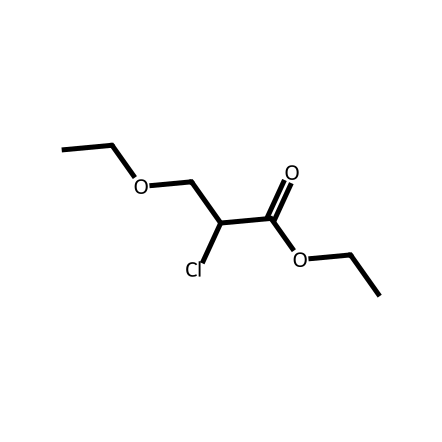 CCOCC(Cl)C(=O)OCC